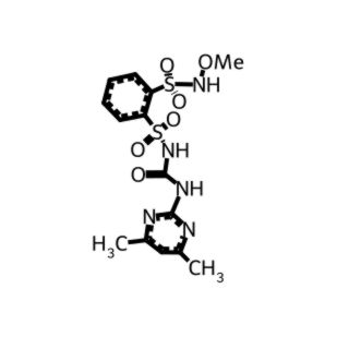 CONS(=O)(=O)c1ccccc1S(=O)(=O)NC(=O)Nc1nc(C)cc(C)n1